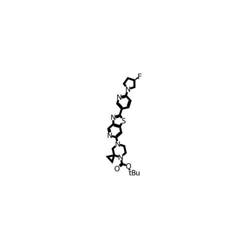 CC(C)(C)OC(=O)N1CCN(c2cc3sc(-c4ccc(N5CC[C@@H](F)C5)nc4)nc3cn2)CC12CC2